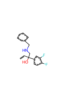 C=CC(O)(CNCc1ccccc1)c1ccc(F)c(F)c1